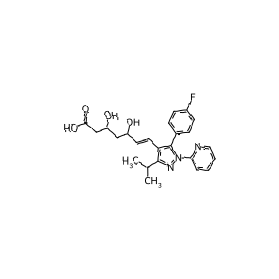 CC(C)c1nn(-c2ccccn2)c(-c2ccc(F)cc2)c1C=CC(O)CC(O)CC(=O)O